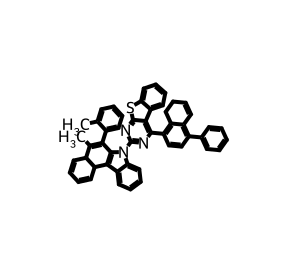 CC1=C(c2ccccc2C)c2c(c3ccccc3n2-c2nc(-c3ccc(-c4ccccc4)c4c3CCC=C4)c3c(n2)sc2ccccc23)C2C=CC=CC12